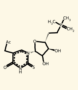 C=P(C)(C)CC[C@H]1O[C@@H](n2cc(CC(C)=O)c(=O)[nH]c2=S)C(O)[C@@H]1O